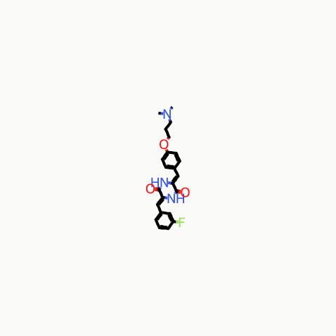 CN(C)CCCOc1ccc(C=c2[nH]c(=O)c(=Cc3cccc(F)c3)[nH]c2=O)cc1